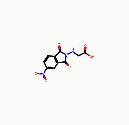 O=C(O)CNN1C(=O)c2ccc([N+](=O)[O-])cc2C1=O